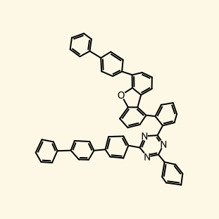 c1ccc(-c2ccc(-c3ccc(-c4nc(-c5ccccc5)nc(-c5ccccc5-c5cccc6oc7c(-c8ccc(-c9ccccc9)cc8)cccc7c56)n4)cc3)cc2)cc1